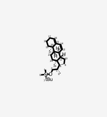 C[C@H](CO[Si](C)(C)C(C)(C)C)[C@H]1CC[C@H]2[C@@H]3C=CC4=CCCC[C@]4(C)[C@H]3CC[C@]12C